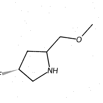 COCC1C[C@@H](F)CN1